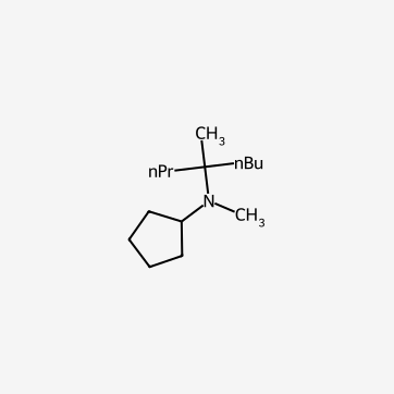 CCCCC(C)(CCC)N(C)C1CCCC1